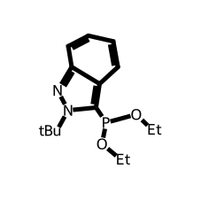 CCOP(OCC)c1c2ccccc2nn1C(C)(C)C